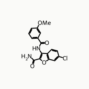 COc1cccc(C(=O)Nc2c(C(N)=O)oc3cc(Cl)ccc23)c1